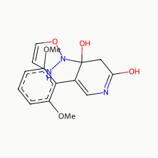 COc1cccc(OC)c1C1=CN=C(O)CC1(O)N1NC=CO1